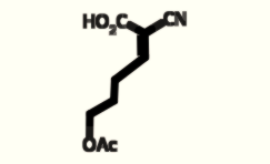 CC(=O)OCCCC=C(C#N)C(=O)O